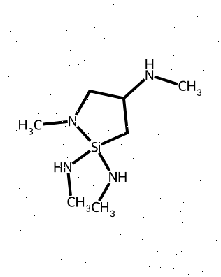 CNC1CN(C)[Si](NC)(NC)C1